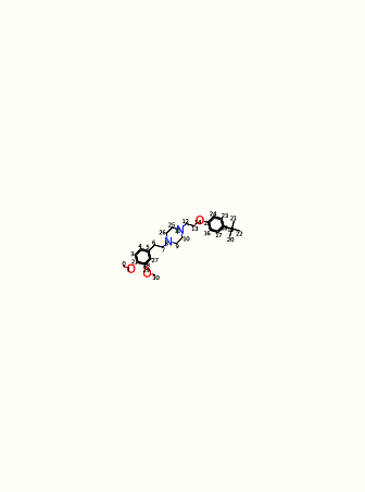 COc1ccc(CCN2CCN(CCOc3ccc(C(C)(C)C)cc3)CC2)cc1OC